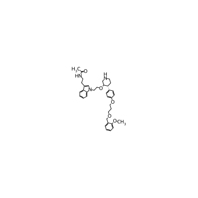 COc1ccccc1COCCCOc1ccc([C@H]2CCNC[C@@H]2OCCn2cc(CCNC(C)=O)c3ccccc32)cc1